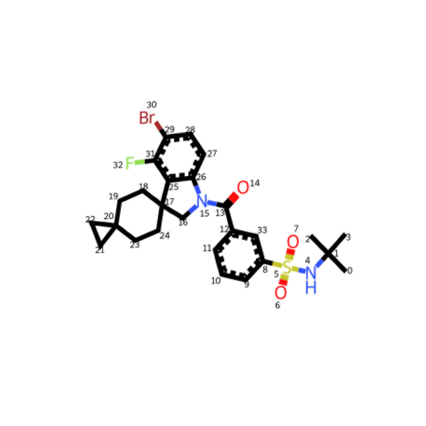 CC(C)(C)NS(=O)(=O)c1cccc(C(=O)N2CC3(CCC4(CC4)CC3)c3c2ccc(Br)c3F)c1